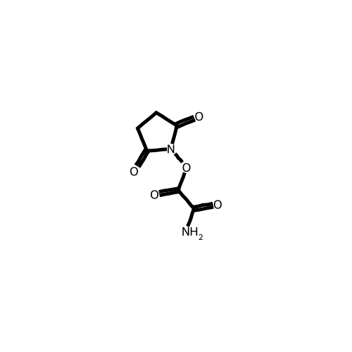 NC(=O)C(=O)ON1C(=O)CCC1=O